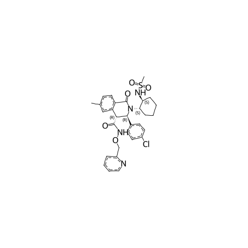 Cc1ccc2c(c1)[C@@H](C(=O)NOCc1ccccn1)[C@H](c1ccc(Cl)cc1)N([C@H]1CCCC[C@@H]1NS(C)(=O)=O)C2=O